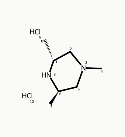 C[C@@H]1CN(C)C[C@@H](C)N1.Cl.Cl